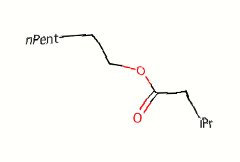 CCCCCCCOC(=O)CC(C)C